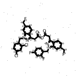 O=C(Cc1nn(Cc2ccc(F)cc2F)c2cc(CF)ccc12)OC(=O)Cc1nn(Cc2ccc(Cl)cc2Cl)c2cc(CF)ccc12